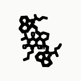 CCCCN1C(=O)N(C(C)C)C(=O)C(=C2/C(=C/C=c3\c4cccc5cccc(c54)n3C(C)CCC)CCC/C2=C\C=c2/c3cccc4cccc(c43)n2C(C)CCC)C1O